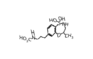 C[C@@H]1CNS(O)(O)c2ccc(CCCNC(=O)O)cc2O1